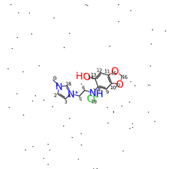 Cn1cc[n+](CCNc2cc3c(cc2O)OCO3)c1.[Cl-]